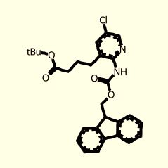 CC(C)(C)OC(=O)CCCc1cc(Cl)cnc1NC(=O)OCC1c2ccccc2-c2ccccc21